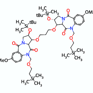 COc1ccc2c(c1)C(=O)N1C[C@@H](O[Si](C)(C)C(C)(C)C)C(OCCCOC3C4C(=O)N(COCC[Si](C)(C)C)c5ccc(OC)cc5C(=O)N4C[C@H]3O[Si](C)(C)C(C)(C)C)C1C(=O)N2COCC[Si](C)(C)C